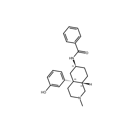 CN1CC[C@@]2(c3cccc(O)c3)C[C@@H](NC(=O)c3ccccc3)CC[C@@H]2C1